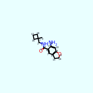 CC1(CNC(=O)c2cc3c(cc2N)OCC3)CCC1